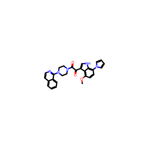 COc1ccc(-n2cccc2)c2[nH]cc(C(=O)C(=O)N3CCN(c4nccc5ccccc45)CC3)c12